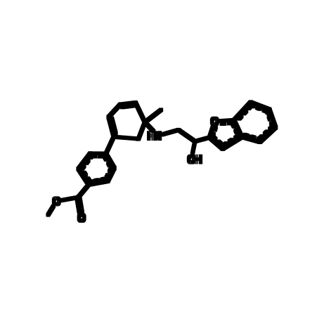 COC(=O)c1ccc(C2=CC=CC(C)(NCC(O)c3cc4ccccc4o3)C2)cc1